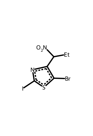 CCC(c1nc(I)sc1Br)[N+](=O)[O-]